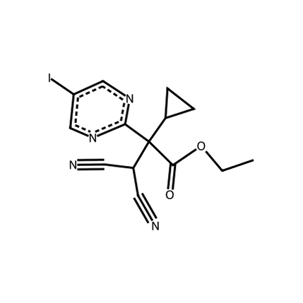 CCOC(=O)C(c1ncc(I)cn1)(C(C#N)C#N)C1CC1